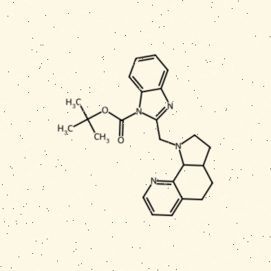 CC(C)(C)OC(=O)n1c(CN2CCC3CCc4cccnc4C32)nc2ccccc21